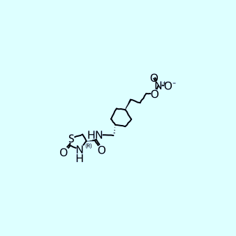 O=C1N[C@H](C(=O)NC[C@H]2CC[C@H](CCCO[N+](=O)[O-])CC2)CS1